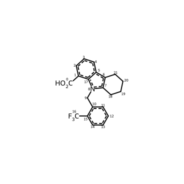 O=C(O)c1cccc2c3c(n(Cc4ccccc4C(F)(F)F)c12)CCCC3